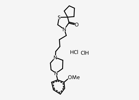 COc1ccccc1N1CCN(CCCCN2CSC3(CCCC3)C2=O)CC1.Cl.Cl